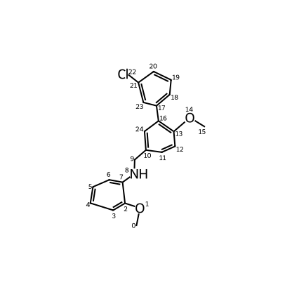 COc1ccccc1NCc1ccc(OC)c(-c2cccc(Cl)c2)c1